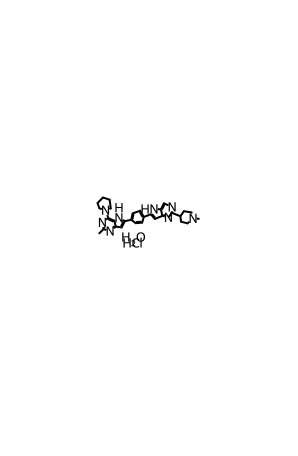 Cc1nc(N2CCCCC2)c2[nH]c(-c3ccc(-c4cc5nc(C6CCN(C)CC6)ncc5[nH]4)cc3)cc2n1.Cl.O